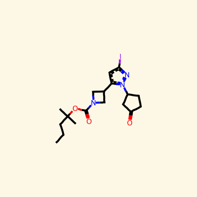 CCCC(C)(C)OC(=O)N1CC(c2cc(I)nn2C2CCC(=O)C2)C1